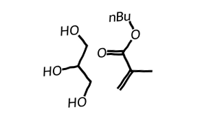 C=C(C)C(=O)OCCCC.OCC(O)CO